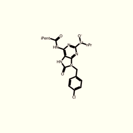 CCCC(C)C(=O)Nc1nc([S+]([O-])CCC)nc2c1[nH]c(=O)n2Cc1ccc(Cl)cc1